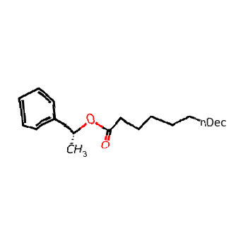 CCCCCCCCCCCCCCCC(=O)O[C@H](C)c1ccccc1